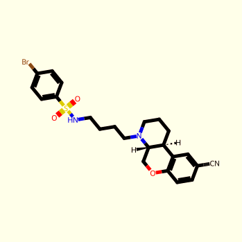 N#Cc1ccc2c(c1)[C@@H]1CCCN(CCCCNS(=O)(=O)c3ccc(Br)cc3)[C@H]1CO2